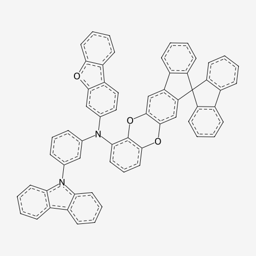 c1cc(N(c2ccc3c(c2)oc2ccccc23)c2cccc3c2Oc2cc4c(cc2O3)C2(c3ccccc3-c3ccccc32)c2ccccc2-4)cc(-n2c3ccccc3c3ccccc32)c1